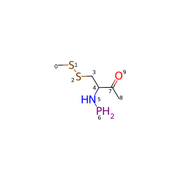 CSSCC(NP)C(C)=O